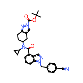 CC(C)(C)OC(=O)n1cc2c(n1)CCC(N(C(=O)c1cccc3c1cnn3Cc1ccc(C#N)cc1)C1CC1)C2